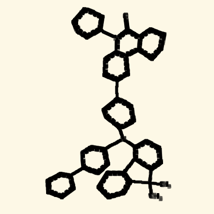 CC1(C)c2ccccc2-c2c(N(c3ccc(-c4ccccc4)cc3)c3ccc(-c4ccc5c(c4)c4ccccc4c(=O)n5-c4ccccc4)cc3)cccc21